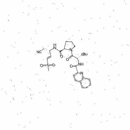 CC(C)(C)[C@H](NC(=O)c1ccc2ccccc2n1)C(=O)N1CCC[C@@H]1C(=O)N[C@H](/C=C/S(C)(=O)=O)CC#N